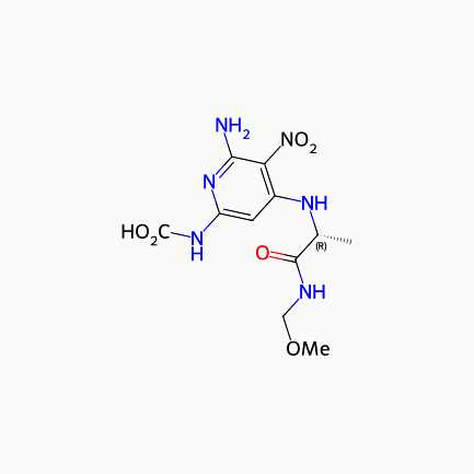 COCNC(=O)[C@@H](C)Nc1cc(NC(=O)O)nc(N)c1[N+](=O)[O-]